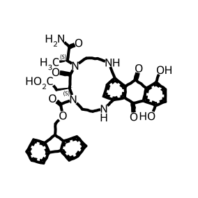 C[C@@H](C(N)=O)N1CCNc2ccc(c3c2C(=O)c2c(O)ccc(O)c2C3=O)NCCN(C(=O)OCC2c3ccccc3-c3ccccc32)[C@@H](CC(=O)O)C1=O